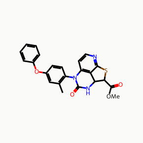 COC(=O)C1Sc2nccc3c2C1NC(=O)N3c1ccc(Oc2ccccc2)cc1C